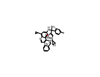 BC(Nc1cc(C2CC2)c2ncc(C#N)c(N[C@H](CC)c3ccccc3)c2c1)(C1=CN(C2CC2)NN1)c1ccc(F)cc1